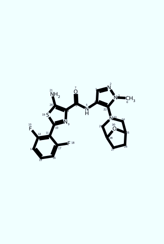 Cn1ncc(NC(=O)c2nc(-c3c(F)cccc3F)sc2N)c1N1CC2CCC(C1)O2